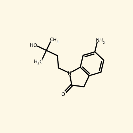 CC(C)(O)CCN1C(=O)Cc2ccc(N)cc21